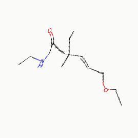 CCNC(=O)C(C)(C)C=CCOCC